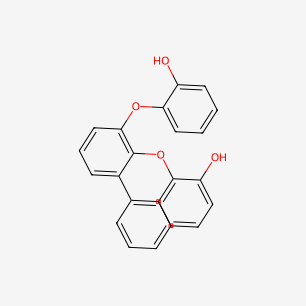 Oc1ccccc1Oc1cccc(-c2ccccc2)c1Oc1ccccc1O